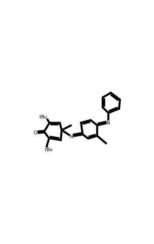 CC1=CC(=NC2(C)C=C(C(C)(C)C)C(=O)C(C(C)(C)C)=C2)C=CC1=Nc1ccccc1